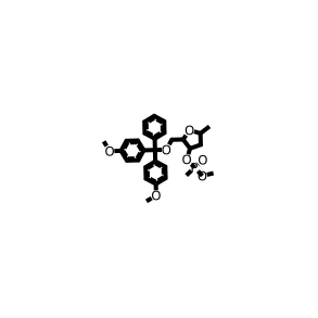 COc1ccc(C(OCC2OC(C)CC2OP(C)(=O)OC)(c2ccccc2)c2ccc(OC)cc2)cc1